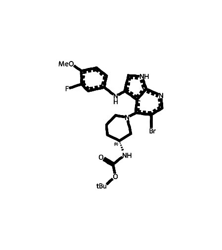 COc1ccc(Nc2c[nH]c3ncc(Br)c(N4CCC[C@@H](NC(=O)OC(C)(C)C)C4)c23)cc1F